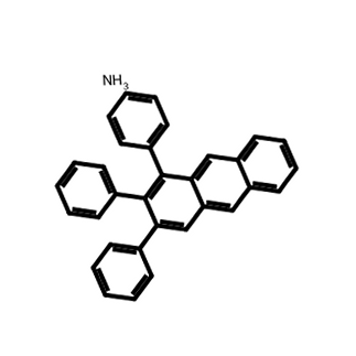 N.c1ccc(-c2cc3cc4ccccc4cc3c(-c3ccccc3)c2-c2ccccc2)cc1